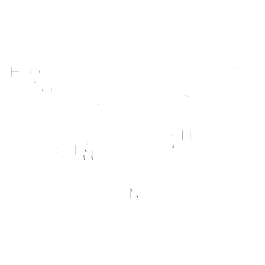 CC(=O)[O-].CC(=O)[O-].O.[Ca+2].c1cncnc1